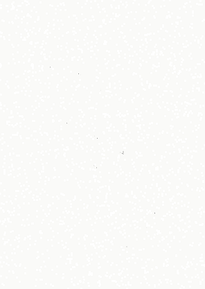 CN(c1ncccc1Cn1ccc2cnc(Nc3ccc(N4CCCC4CO)cc3)nc21)S(C)(=O)=O